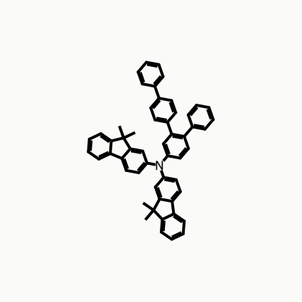 CC1(C)c2ccccc2-c2ccc(N(c3ccc(-c4ccccc4)c(-c4ccc(-c5ccccc5)cc4)c3)c3ccc4c(c3)C(C)(C)c3ccccc3-4)cc21